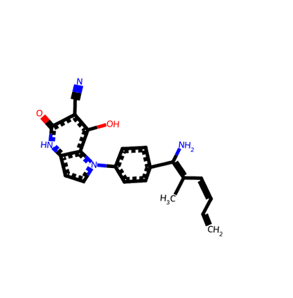 C=C/C=C\C(C)=C(/N)c1ccc(-n2ccc3[nH]c(=O)c(C#N)c(O)c32)cc1